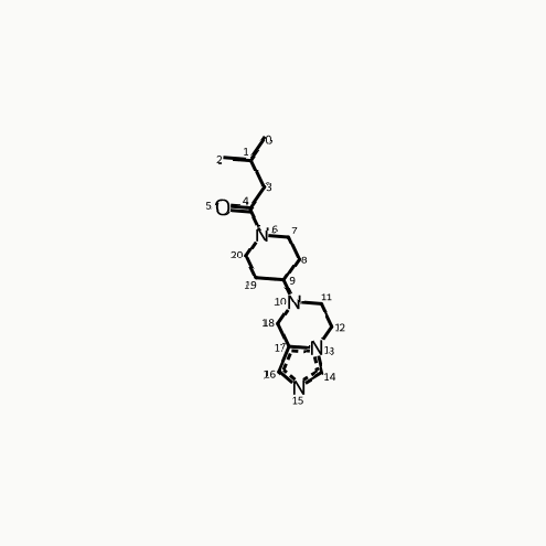 CC(C)CC(=O)N1CCC(N2CCn3cncc3C2)CC1